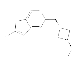 CC(C)(C)N[C@H]1C[C@@H](CC2BC=c3oc(C(C)(C)C)cc3=C2)C1